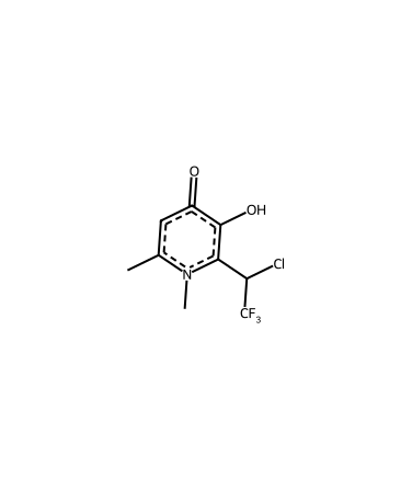 Cc1cc(=O)c(O)c(C(Cl)C(F)(F)F)n1C